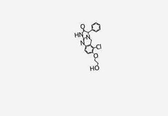 O=C1NC2=Nc3ccc(OCCO)c(Cl)c3CN2C1c1ccccc1